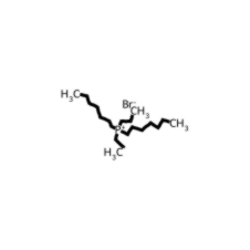 CCCCCCC[P+](CCC)(CCC)CCCCCCC.[Br-]